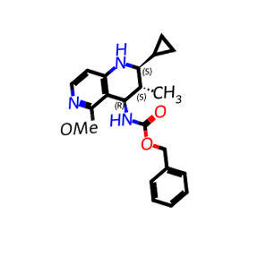 COc1nccc2c1[C@H](NC(=O)OCc1ccccc1)[C@@H](C)[C@H](C1CC1)N2